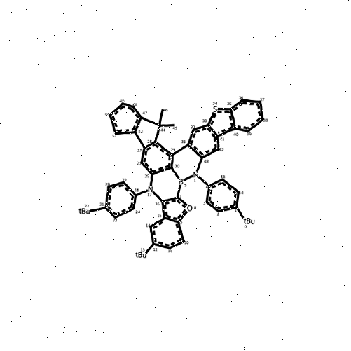 CC(C)(C)c1ccc(N2B3c4oc5ccc(C(C)(C)C)cc5c4N(c4ccc(C(C)(C)C)cc4)c4cc5c(c(c43)-c3cc4sc6ccccc6c4cc32)C(C)(C)c2ccccc2-5)cc1